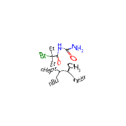 CCC(Br)(CC)C(=O)NC(N)=O.CCCCCCCC(CCCC)C(C)CCCCCC